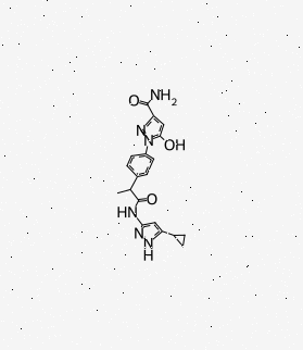 CC(C(=O)Nc1cc(C2CC2)[nH]n1)c1ccc(-n2nc(C(N)=O)cc2O)cc1